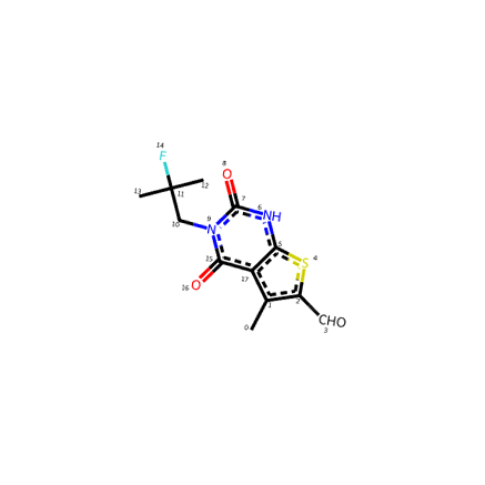 Cc1c(C=O)sc2[nH]c(=O)n(CC(C)(C)F)c(=O)c12